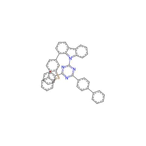 c1ccc(-c2ccc(-c3nc(-c4ccccc4)nc(-n4c5ccccc5c5cccc(-c6ccc7c(c6)sc6ccccc67)c54)n3)cc2)cc1